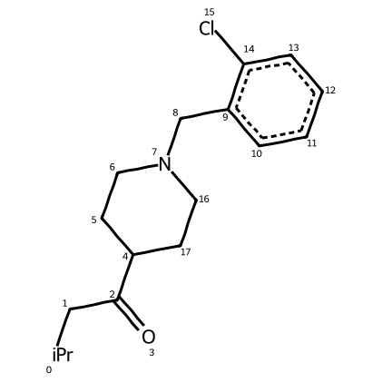 CC(C)CC(=O)C1CCN(Cc2ccccc2Cl)CC1